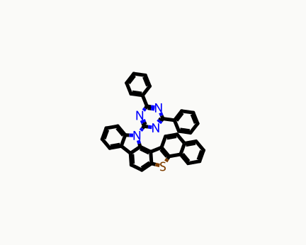 c1ccc(-c2nc(-c3ccccc3)nc(-n3c4ccccc4c4ccc5sc6c7ccccc7ccc6c5c43)n2)cc1